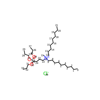 CCCCCCCCCC[N+](C)(CCCCCCCCCC)CCC[Si](OCCC)(OCCC)OCCC.[Cl-]